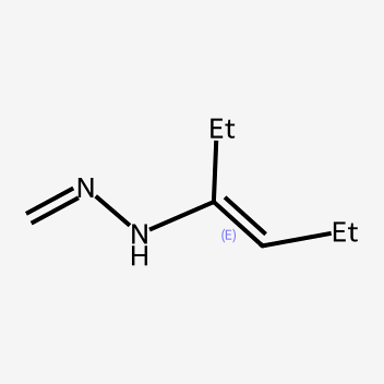 C=NN/C(=C/CC)CC